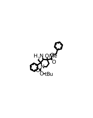 COC1(C(=O)OCc2ccccc2)CCN(C(=O)OC(C)(C)C)C(C)(c2ccccc2)C1N